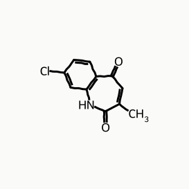 Cc1cc(=O)c2ccc(Cl)cc2[nH]c1=O